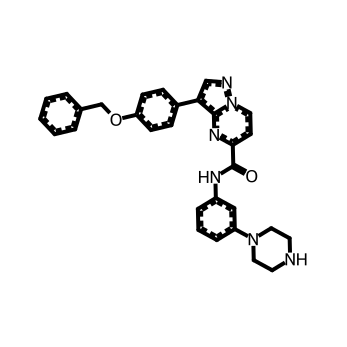 O=C(Nc1cccc(N2CCNCC2)c1)c1ccn2ncc(-c3ccc(OCc4ccccc4)cc3)c2n1